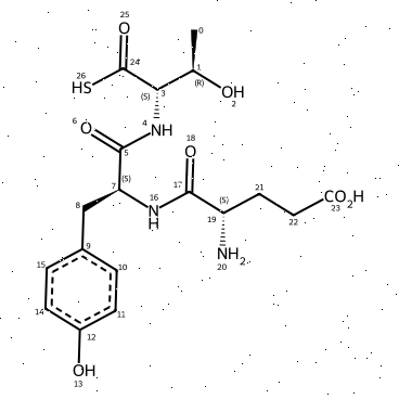 C[C@@H](O)[C@H](NC(=O)[C@H](Cc1ccc(O)cc1)NC(=O)[C@@H](N)CCC(=O)O)C(=O)S